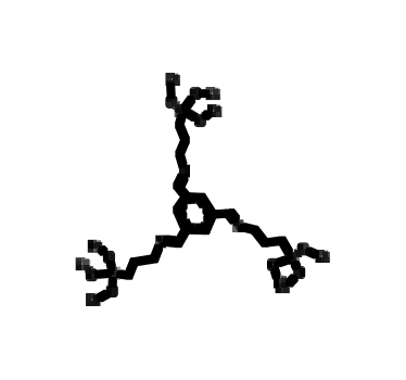 CCO[Si](CCC/N=C/c1cc(/C=N/CCC[Si](OCC)(OCC)OCC)cc(/C=N/CCC[Si](OCC)(OCC)OCC)c1)(OCC)OCC